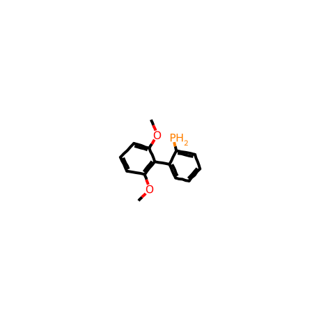 COc1cccc(OC)c1-c1ccccc1P